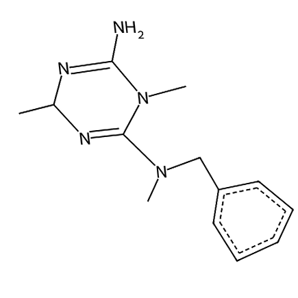 CC1N=C(N)N(C)C(N(C)Cc2ccccc2)=N1